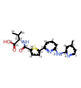 Cc1ccnc(Nc2cccc(-c3ccc(C(=O)N[C@H](C(=O)O)C(C)C)s3)n2)c1